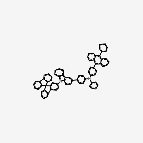 c1ccc(-c2c3ccccc3c(-c3ccc(N(c4ccccc4)c4ccc(-c5ccc6c(c5)c5ccccc5n6-c5ccc6c(c5)C5(c7ccccc7-c7ccccc75)c5ccccc5-6)cc4)cc3)c3ccccc23)cc1